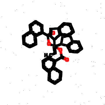 C[CH]=[Ti]([O]C(=O)c1cccc2ccccc12)([O]C(=O)c1cccc2ccccc12)([CH]1C=Cc2ccccc21)[CH]1C=Cc2ccccc21